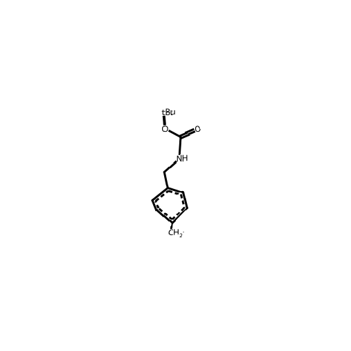 [CH2]c1ccc(CNC(=O)OC(C)(C)C)cc1